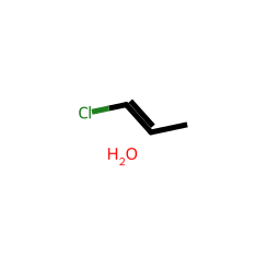 CC=CCl.O